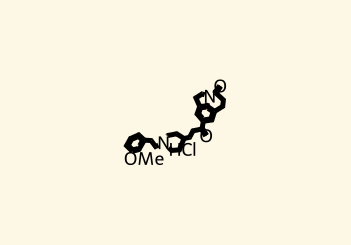 COc1cccc(CCN2CCC(CCC(=O)c3cc4c5c(c3)CCN5C(=O)CC4)CC2)c1.Cl